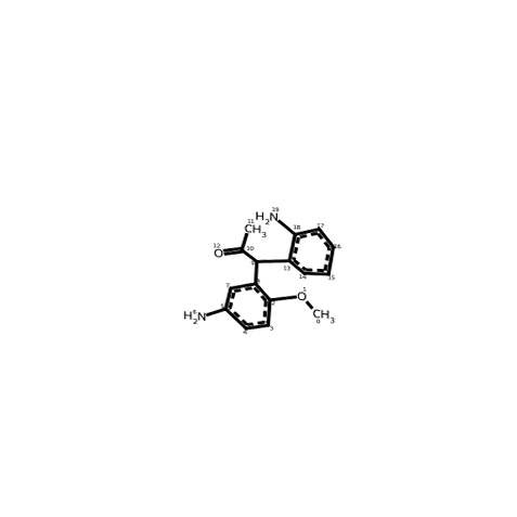 COc1ccc(N)cc1C(C(C)=O)c1ccccc1N